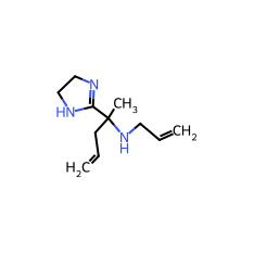 C=CCNC(C)(CC=C)C1=NCCN1